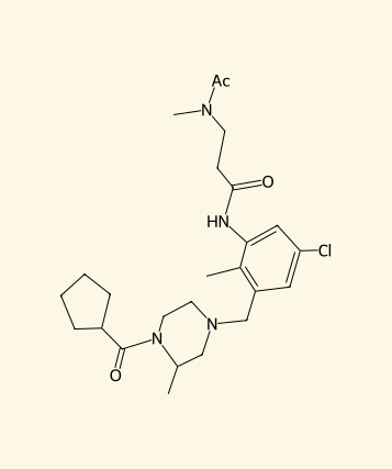 CC(=O)N(C)CCC(=O)Nc1cc(Cl)cc(CN2CCN(C(=O)C3CCCC3)C(C)C2)c1C